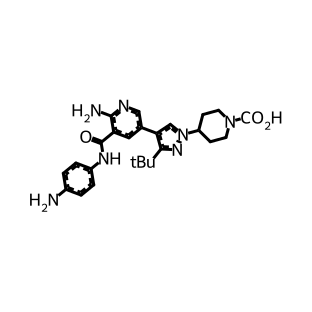 CC(C)(C)c1nn(C2CCN(C(=O)O)CC2)cc1-c1cnc(N)c(C(=O)Nc2ccc(N)cc2)c1